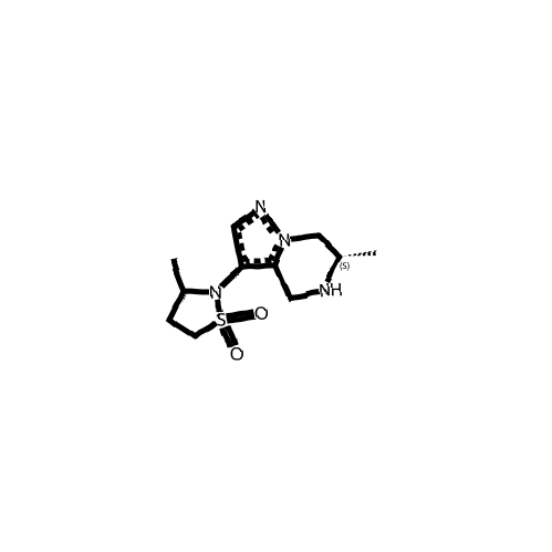 CC1CCS(=O)(=O)N1c1cnn2c1CN[C@@H](C)C2